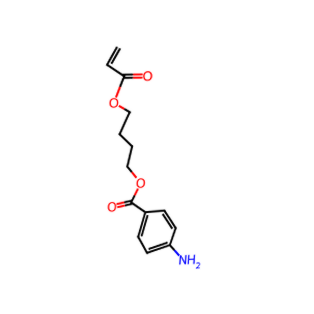 C=CC(=O)OCCCCOC(=O)c1ccc(N)cc1